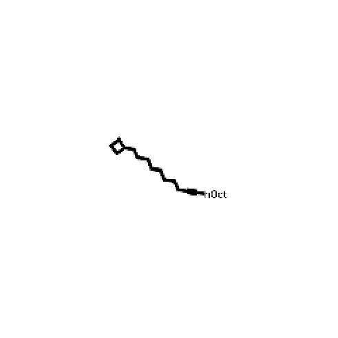 CCCCCCCCC#CCCCCCCCCC1CCC1